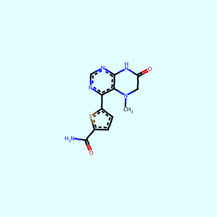 CN1CC(=O)Nc2ncnc(-c3ccc(C(N)=O)s3)c21